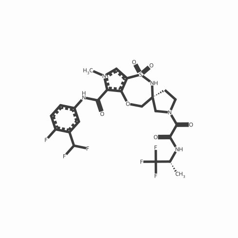 C[C@@H](NC(=O)C(=O)N1CC[C@@]2(COc3c(cn(C)c3C(=O)Nc3ccc(F)c(C(F)F)c3)S(=O)(=O)N2)C1)C(F)(F)F